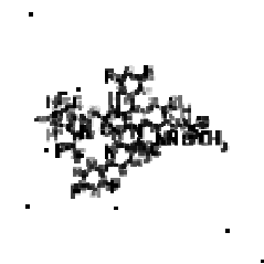 Cn1nc(NS(C)(=O)=O)c2c(Cl)ccc(-n3c([C@H](Cc4cc(F)cc(F)c4)NC(=O)Cn4nc(C(F)F)c5c4C(F)(F)[C@@H]4C[C@H]54)nc4nc(-c5ccc(F)cc5F)ccc4c3=O)c21